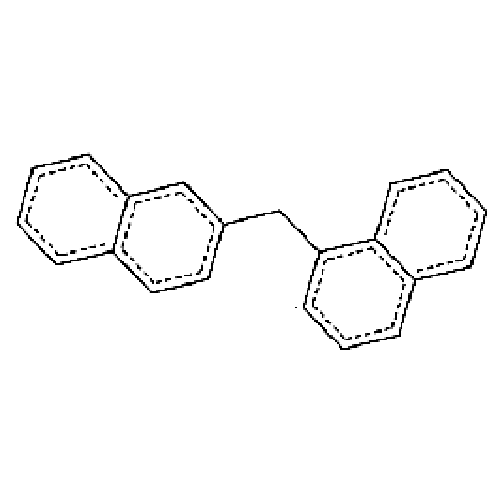 [c]1ccc2ccccc2c1Cc1ccc2ccccc2c1